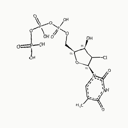 Cc1cn([C@H]2O[C@@H](COP(=O)(O)OP(=O)(O)OP(=O)(O)O)[C@@H](O)C2Cl)c(=O)[nH]c1=O